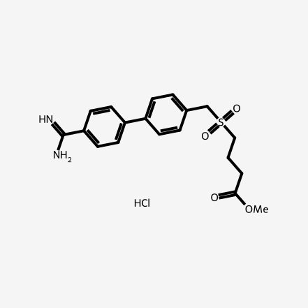 COC(=O)CCCS(=O)(=O)Cc1ccc(-c2ccc(C(=N)N)cc2)cc1.Cl